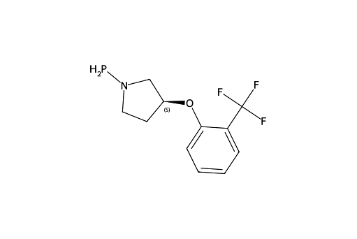 FC(F)(F)c1ccccc1O[C@H]1CCN(P)C1